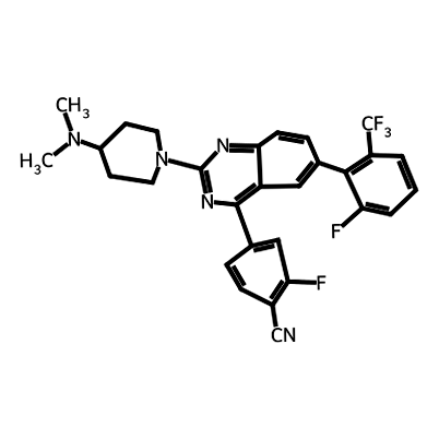 CN(C)C1CCN(c2nc(-c3ccc(C#N)c(F)c3)c3cc(-c4c(F)cccc4C(F)(F)F)ccc3n2)CC1